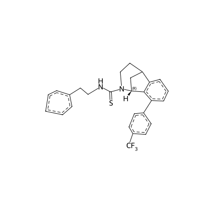 FC(F)(F)c1ccc(-c2cccc3c2[C@H]2CC3CCN2C(=S)NCCc2ccccc2)cc1